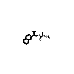 NNC(=O)OCC(=C(F)F)c1ccc2ccccc2c1